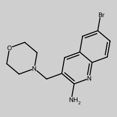 Nc1nc2ccc(Br)cc2cc1CN1CCOCC1